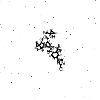 N#CC1(NC(=O)[C@@H]2C[C@@H](S(=O)(=O)c3ccc(-n4cnc(Cl)n4)cc3C(F)(F)F)CN2C(=O)C2(C(F)(F)F)CC2)CC1